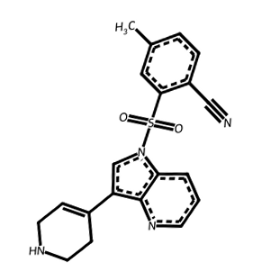 Cc1ccc(C#N)c(S(=O)(=O)n2cc(C3=CCNCC3)c3ncccc32)c1